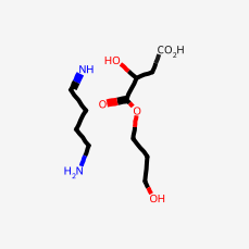 N=CCCCN.O=C(O)CC(O)C(=O)OCCCO